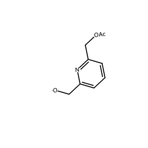 CC(=O)OCc1cccc(C[O])n1